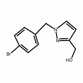 OCc1ccn(Cc2ccc(Br)cc2)n1